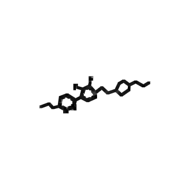 CCCc1ccc(-c2ccc(CCC3CCC(CCC)CC3)c(F)c2F)nn1